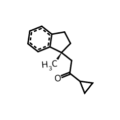 C[C@]1(CC(=O)C2CC2)CCc2ccccc21